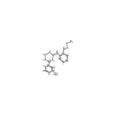 FCCOc1ccccc1OC1CCCN(c2cncc(Cl)n2)C1